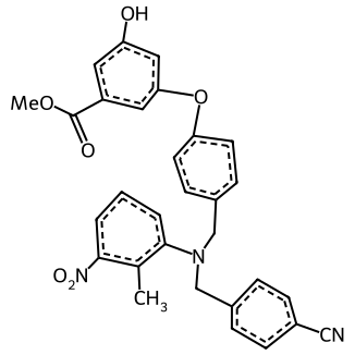 COC(=O)c1cc(O)cc(Oc2ccc(CN(Cc3ccc(C#N)cc3)c3cccc([N+](=O)[O-])c3C)cc2)c1